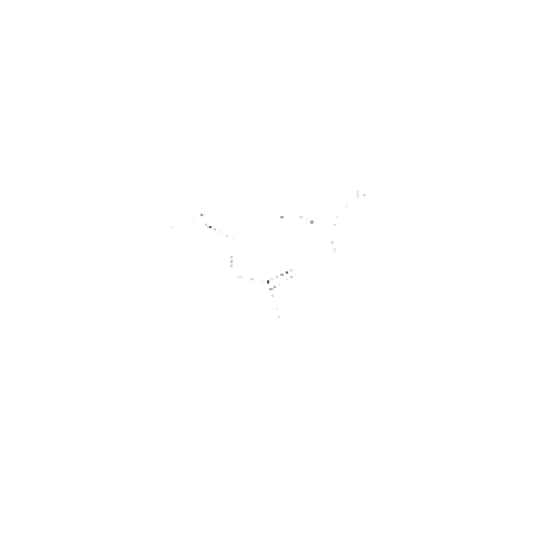 CC(C)OC(=O)CCC(=O)[O-].CCC[CH2][Sn+]([CH2]CCC)[CH2]CCC